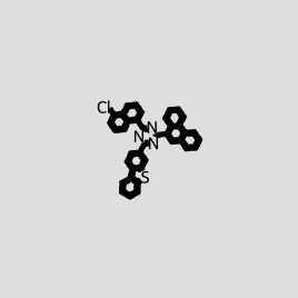 Clc1cccc2c(-c3nc(-c4ccc5c(c4)sc4ccccc45)nc(-c4cc5ccccc5c5ccccc45)n3)cccc12